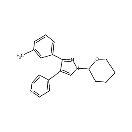 FC(F)(F)c1cccc(-c2nn(C3CCCCO3)cc2-c2ccncc2)c1